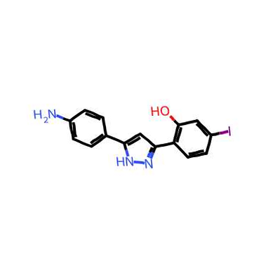 Nc1ccc(-c2cc(-c3ccc(I)cc3O)n[nH]2)cc1